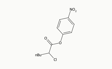 CCCCC(Cl)C(=O)Oc1ccc([N+](=O)[O-])cc1